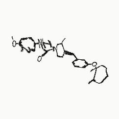 COc1ccc(NC(=O)N2CCC(=Cc3cccc(OC4(C)CCCCC4C)c3)C(C)C2)cn1